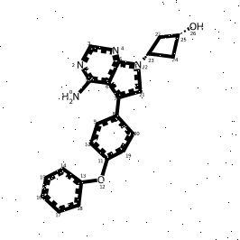 Nc1ncnc2c1c(-c1ccc(Oc3ccccc3)cc1)cn2[C@H]1C[C@@H](O)C1